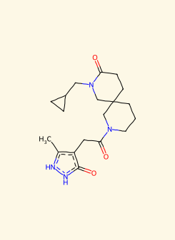 Cc1[nH][nH]c(=O)c1CC(=O)N1CCCC2(CCC(=O)N(CC3CC3)C2)C1